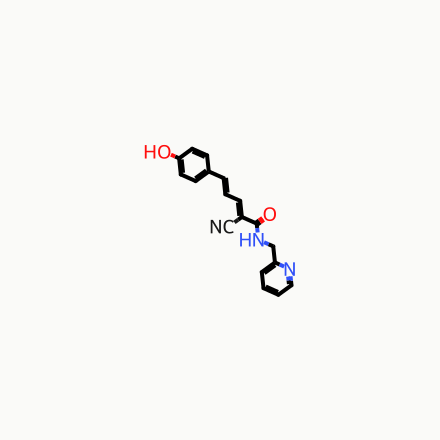 N#C/C(=C\C=C\c1ccc(O)cc1)C(=O)NCc1ccccn1